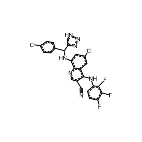 N#Cc1cnc2c(N[C@@H](c3ccc(Cl)cc3)c3c[nH]nn3)cc(Cl)cc2c1Nc1ccc(F)c(F)c1F